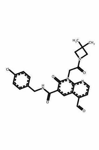 CC1(C)CN(C(=O)Cn2c(=O)c(C(=O)NCc3ccc(Cl)cc3)cc3c(C=O)ccnc32)C1